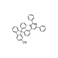 N#Cc1ccc2c(c1)C(c1ccccc1)(c1cccc(-c3cc(-c4ccccc4)nc(-c4ccccc4)n3)c1)c1ccccc1-2